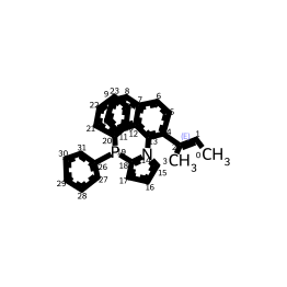 C/C=C(\C)c1ccc2ccccc2c1-n1cccc1P(c1ccccc1)c1ccccc1